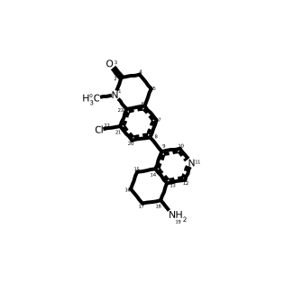 CN1C(=O)CCc2cc(-c3cncc4c3CCCC4N)cc(Cl)c21